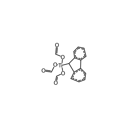 O=C[O][Ti]([O]C=O)([O]C=O)[CH]1c2ccccc2-c2ccccc21